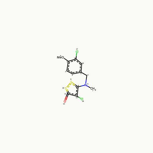 COc1ccc(CN(C)c2ssc(=O)c2Cl)cc1Cl